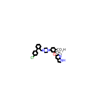 CC1(Oc2cnc3[nH]ccc3c2)C=C(N2CCN(Cc3ccccc3-c3ccc(Cl)cc3)CC2)C=CC1C(=O)O